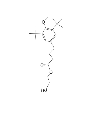 COc1c(C(C)(C)C)cc(CCCC(=O)OCCO)cc1C(C)(C)C